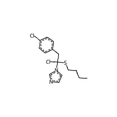 CCCCSC(Cl)(Cc1ccc(Cl)cc1)n1ccnc1